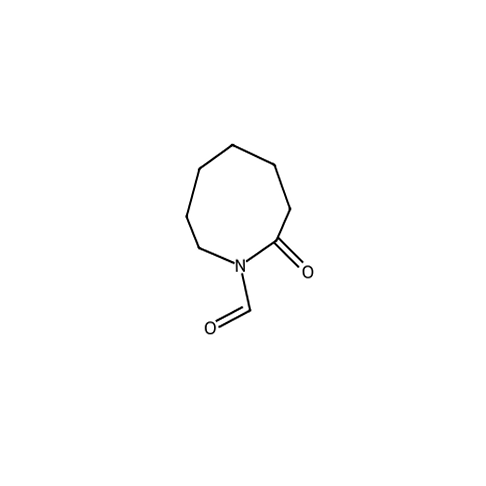 O=CN1CCCCCCC1=O